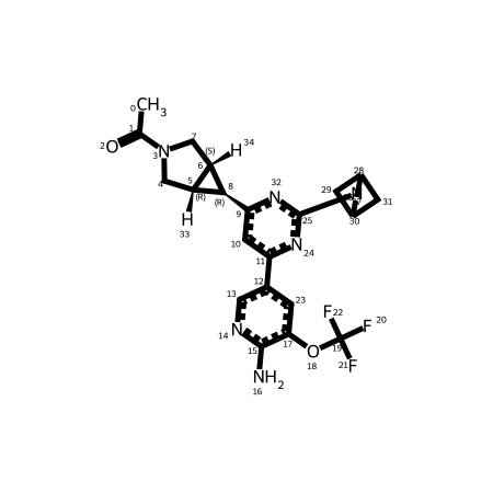 CC(=O)N1C[C@@H]2[C@H](C1)[C@H]2c1cc(-c2cnc(N)c(OC(F)(F)F)c2)nc(N2CC3CC2C3)n1